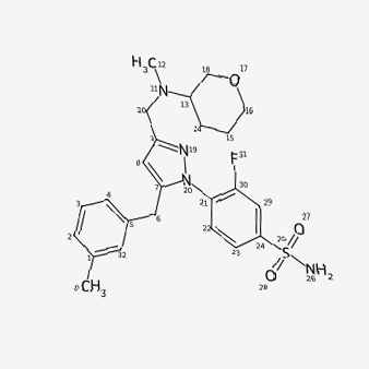 Cc1cccc(Cc2cc(CN(C)C3CCCOC3)nn2-c2ccc(S(N)(=O)=O)cc2F)c1